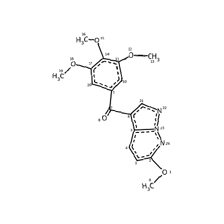 COc1ccc2c(C(=O)c3cc(OC)c(OC)c(OC)c3)cnn2n1